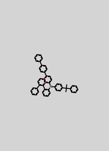 CC(C)(c1ccccc1)c1ccc(N(c2ccc(-c3ccc(-c4ccccc4)cc3)cc2)c2ccccc2-c2ccccc2-c2ccccc2)cc1